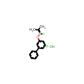 C[C](C)=[Ti]([F])[O]c1cccc(-c2ccccc2)c1.Cl.Cl